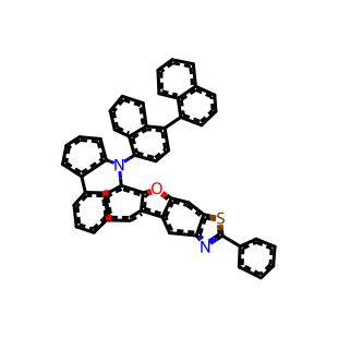 c1ccc(-c2nc3cc4c(cc3s2)oc2c(N(c3ccccc3-c3ccccc3)c3ccc(-c5cccc6ccccc56)c5ccccc35)cccc24)cc1